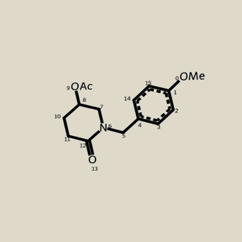 COc1ccc(CN2CC(OC(C)=O)CCC2=O)cc1